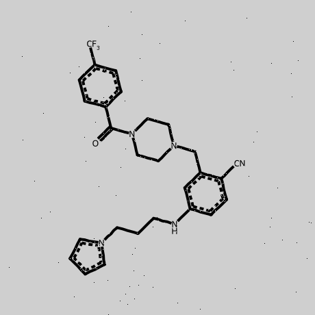 N#Cc1ccc(NCCCn2cccc2)cc1CN1CCN(C(=O)c2ccc(C(F)(F)F)cc2)CC1